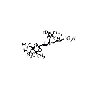 CC1(C)OB(/C=C/[C@@H](CCCC(=O)O)O[Si](C)(C)C(C)(C)C)OC1(C)C